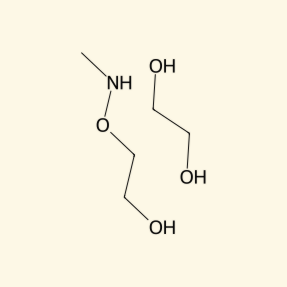 CNOCCO.OCCO